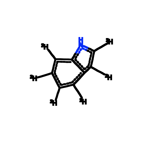 [2H]c1[nH]c2c([2H])c([2H])c([2H])c([2H])c2c1[2H]